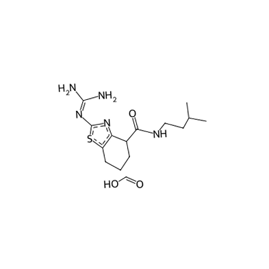 CC(C)CCNC(=O)C1CCCc2sc(N=C(N)N)nc21.O=CO